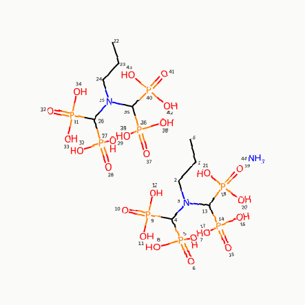 CCCN(C(P(=O)(O)O)P(=O)(O)O)C(P(=O)(O)O)P(=O)(O)O.CCCN(C(P(=O)(O)O)P(=O)(O)O)C(P(=O)(O)O)P(=O)(O)O.N